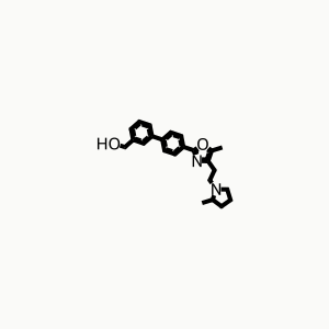 Cc1oc(-c2ccc(-c3cccc(CO)c3)cc2)nc1CCN1CCCC1C